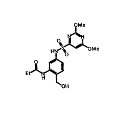 CCC(=O)Nc1cc(NS(=O)(=O)c2cc(OC)nc(OC)n2)ccc1CO